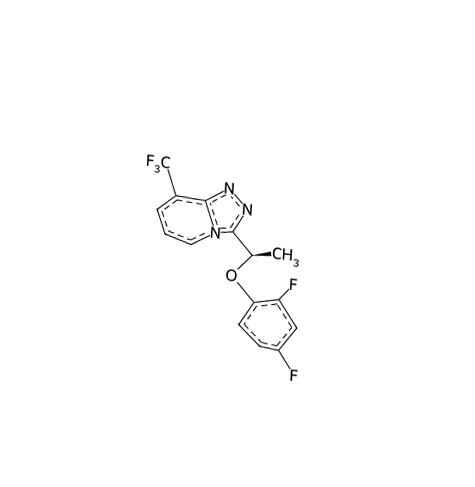 C[C@@H](Oc1ccc(F)cc1F)c1nnc2c(C(F)(F)F)cccn12